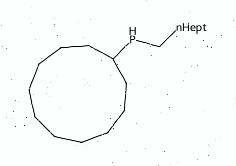 CCCCCCCCPC1CCCCCCCCCC1